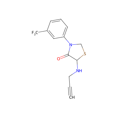 C#CCNC1SCN(c2cccc(C(F)(F)F)c2)C1=O